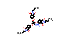 CCCCN1C(=O)c2ccc(OCC(CN)(COc3ccc4c(c3)C(=O)N(CCCC)C4=O)COc3ccc4c(c3)C(=O)N(CCCC)C4=O)cc2C1=O